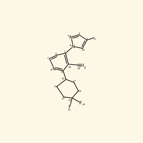 Cc1cnn(-c2ccnc(C3CCC(F)(F)CC3)c2N)c1